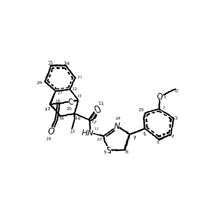 COc1cccc(C2CSC(NC(=O)C3(C)CC4C(=O)CC3c3ccccc34)=N2)c1